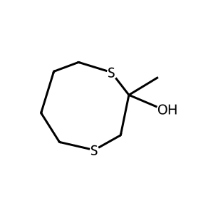 CC1(O)CSCCCCS1